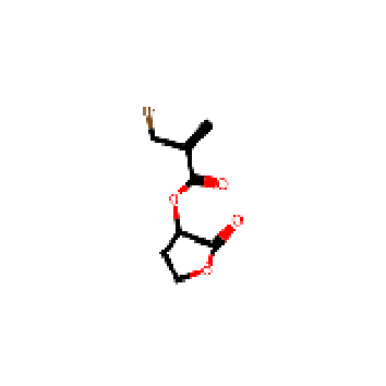 C=C(CBr)C(=O)OC1CCOC1=O